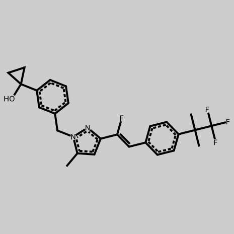 Cc1cc(C(F)=Cc2ccc(C(C)(C)C(F)(F)F)cc2)nn1Cc1cccc(C2(O)CC2)c1